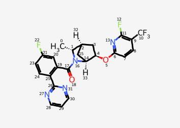 C[C@@H]1[C@H]2C[C@@H](Oc3ccc(C(F)(F)F)c(F)n3)[C@H](C2)N1C(=O)c1cc(F)ccc1-c1ncccn1